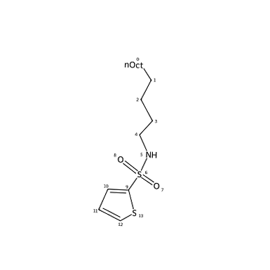 CCCCCCCCCCCCNS(=O)(=O)c1cccs1